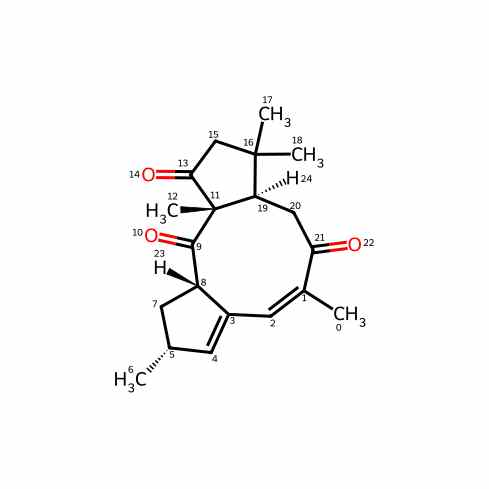 C/C1=C/C2=C[C@H](C)C[C@@H]2C(=O)[C@]2(C)C(=O)CC(C)(C)[C@H]2CC1=O